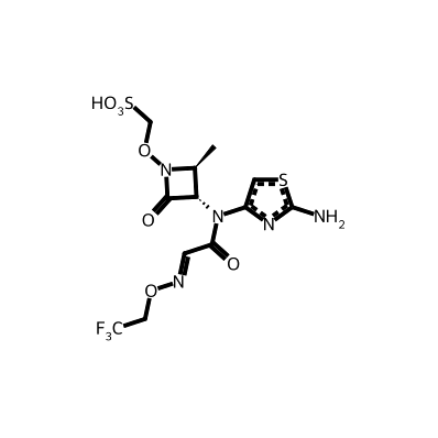 C[C@H]1[C@H](N(C(=O)C=NOCC(F)(F)F)c2csc(N)n2)C(=O)N1OCS(=O)(=O)O